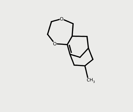 CC1CC2=C3OCCOCC3CC(C2)C1